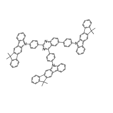 CC1(C)c2ccccc2-c2cc3c(cc21)c1ccccc1n3-c1ccc(-c2ccc3nc(-c4ccc(-n5c6ccccc6c6cc7c(cc65)-c5ccccc5C7(C)C)cc4)nc(-c4ccc(-n5c6ccccc6c6cc7c(cc65)-c5ccccc5C7(C)C)cc4)c3c2)cc1